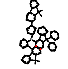 CC1(C)c2ccccc2-c2ccc(-c3ccc(N(c4ccccc4-c4cccc5c4-c4ccccc4C5(C)C)c4cccc5c4-c4ccccc4C5(c4ccccc4)c4ccccc4)cc3)cc21